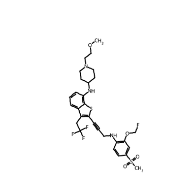 COCCN1CCC(Nc2cccc3c(CC(F)(F)F)c(C#CCNc4ccc(S(C)(=O)=O)cc4OCF)sc23)CC1